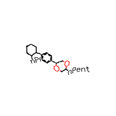 CCCCCC1COC(c2ccc(C3CCCCC3CCC)cc2)CO1